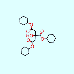 O=C(CC(O)(CC(=O)OC1CCCCC1)C(=O)OC1CCCCC1)OC1CCCCC1